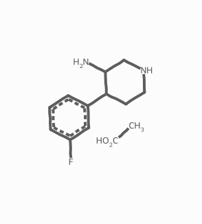 CC(=O)O.NC1CNCCC1c1cccc(F)c1